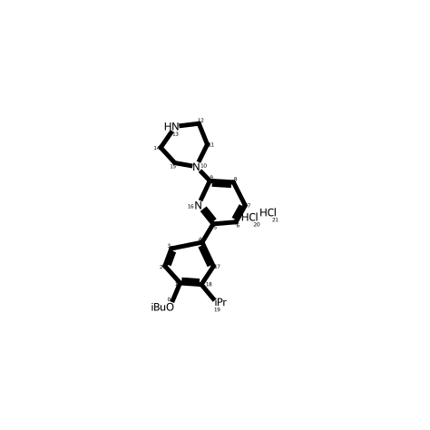 CC(C)COc1ccc(-c2cccc(N3CCNCC3)n2)cc1C(C)C.Cl.Cl